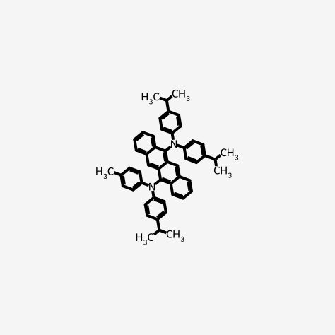 Cc1ccc(N(c2ccc(C(C)C)cc2)c2c3ccccc3cc3c(N(c4ccc(C(C)C)cc4)c4ccc(C(C)C)cc4)c4ccccc4cc23)cc1